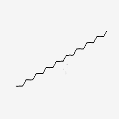 CCCCCCCCCCCCCCCCCCCl.Cl.Cl.P